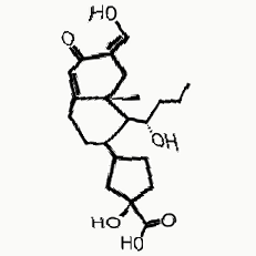 CCC[C@H](O)C1C(C2CC[C@](O)(C(=O)O)C2)CCC2=CC(=O)/C(=C\O)C[C@@]21C